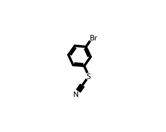 N#CSc1cccc(Br)c1